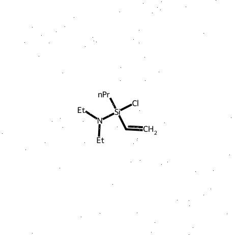 C=C[Si](Cl)(CCC)N(CC)CC